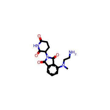 CN(CCN)c1cccc2c1C(=O)N(C1CCC(=O)NC1=O)C2=O